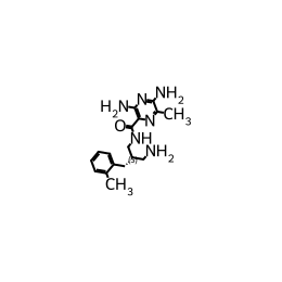 Cc1ccccc1C[C@@H](CN)CNC(=O)c1nc(C)c(N)nc1N